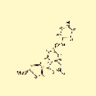 CSc1ccc(C2CN(C)Cc3cc(OCC4CCNCC4)ccc32)cc1